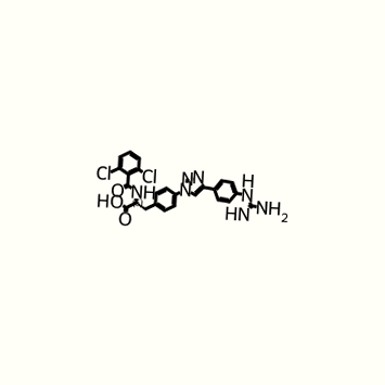 N=C(N)Nc1ccc(-c2cn(-c3ccc(C[C@H](NC(=O)c4c(Cl)cccc4Cl)C(=O)O)cc3)nn2)cc1